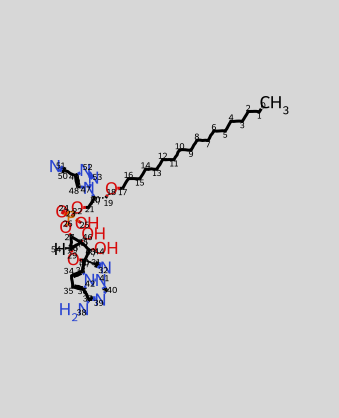 CCCCCCCCCCCCCCCCCCOC[C@H](COP(=O)(O)OC1[C@H]2O[C@@](C#N)(c3ccc4c(N)ncnn34)[C@H](O)[C@@]12O)n1cc(C#N)nn1